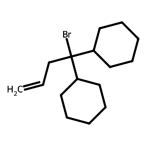 C=CCC(Br)(C1CCCCC1)C1CCCCC1